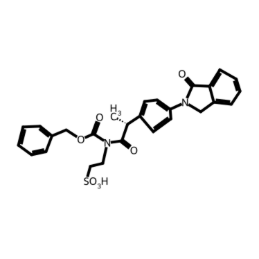 C[C@@H](C(=O)N(CCS(=O)(=O)O)C(=O)OCc1ccccc1)c1ccc(N2Cc3ccccc3C2=O)cc1